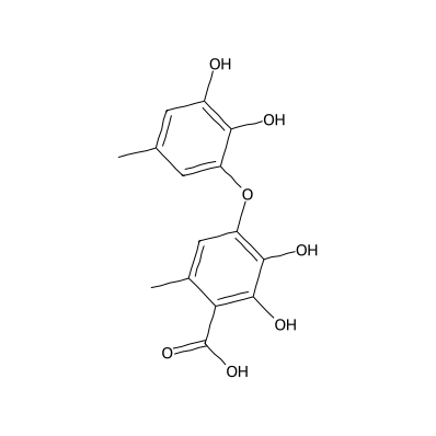 Cc1cc(O)c(O)c(Oc2cc(C)c(C(=O)O)c(O)c2O)c1